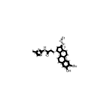 CCON=C1C[C@@H](CCC(=O)Nc2ncc(C)s2)C2C3CCc4cc(O)c(C(C)(C)C)cc4C3CC[C@]12C